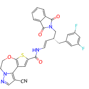 N#Cc1cnn2c1-c1cc(C(=O)N/C=C/[C@@H](Cc3cc(F)cc(F)c3)CN3C(=O)c4ccccc4C3=O)sc1OCC2